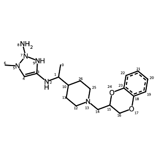 CC(NC1=CN(C)N(N)N1)C1CCN(CC2COc3ccccc3O2)CC1